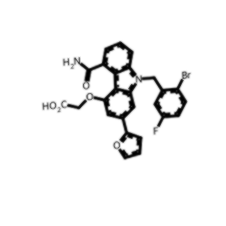 NC(=O)c1cccc2c1c1c(OCC(=O)O)cc(-c3ccco3)cc1n2Cc1cc(F)ccc1Br